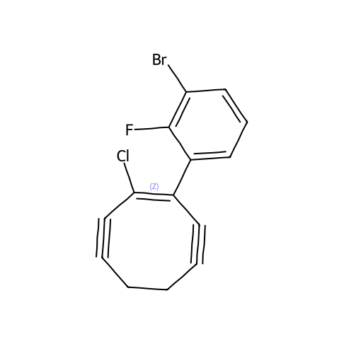 Fc1c(Br)cccc1/C1=C(\Cl)C#CCCC#C1